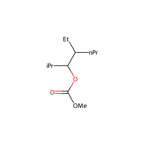 CCCC(CC)C(OC(=O)OC)C(C)C